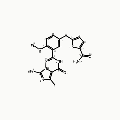 CCCc1nc(C)c2c(=O)[nH]c(-c3cc(Cc4ccc(C(N)=O)s4)ccc3OCC)nn12